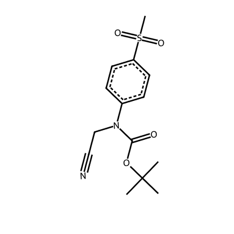 CC(C)(C)OC(=O)N(CC#N)c1ccc(S(C)(=O)=O)cc1